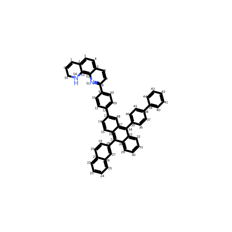 C1=Cc2ccc3ccc(-c4ccc(-c5ccc6c(-c7ccc8ccccc8c7)c7ccccc7c(-c7ccc(-c8ccccc8)cc7)c6c5)cc4)nc3c2NC1